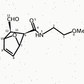 COCCNC(=O)[C@H]1C2C=CC(O2)[C@H]1C=O